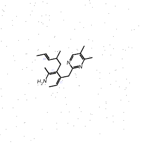 C/C=C(Cc1ncc(C)c(C)n1)\C(CC(C)/C=C/C)=C(\C)N